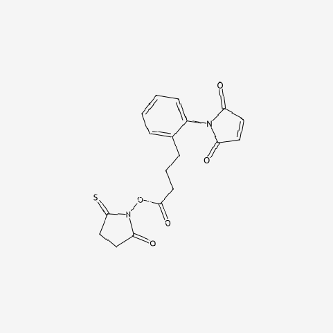 O=C(CCCc1ccccc1N1C(=O)C=CC1=O)ON1C(=O)CCC1=S